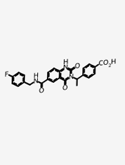 CC(c1ccc(C(=O)O)cc1)n1c(=O)[nH]c2ccc(C(=O)NCc3ccc(F)cc3)cc2c1=O